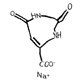 O=C([O-])c1cc(=O)[nH]c(=O)[nH]1.[Na+]